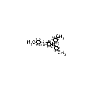 Cc1ccc(CCc2ccc(N(c3ccc(C)cc3)c3ccc(C)cc3)cc2)cc1